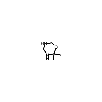 CC1(C)NCNCO1